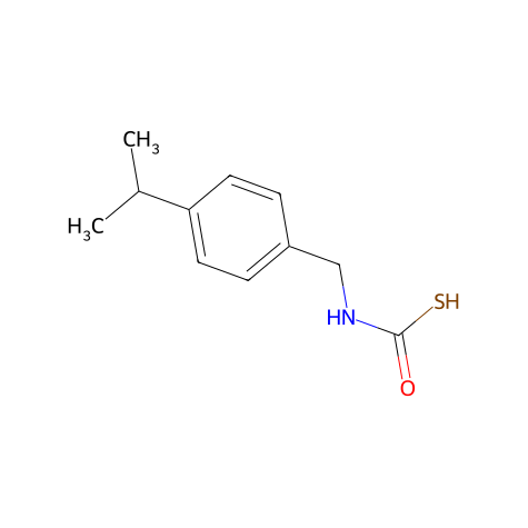 CC(C)c1ccc(CNC(=O)S)cc1